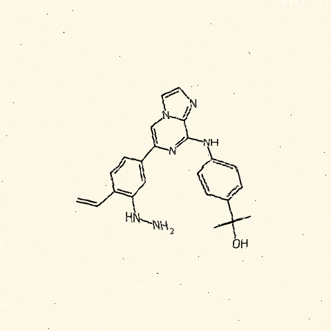 C=Cc1ccc(-c2cn3ccnc3c(Nc3ccc(C(C)(C)O)cc3)n2)cc1NN